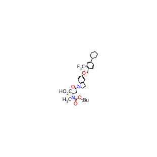 CN(C(=O)OC(C)(C)C)C(CC(=O)N1CCc2cc(OCc3ccc(C4CCCCC4)cc3C(F)(F)F)ccc21)C(=O)O